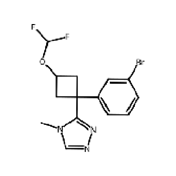 Cn1cnnc1C1(c2cccc(Br)c2)CC(OC(F)F)C1